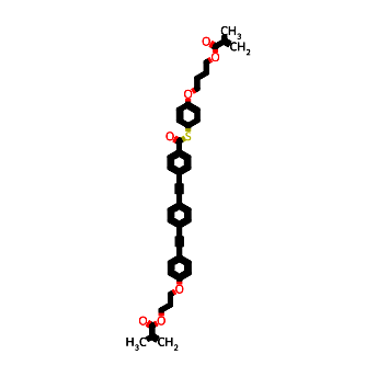 C=C(C)C(=O)OCCCCOC1=CCC(SC(=O)c2ccc(C#Cc3ccc(C#Cc4ccc(OCCCOC(=O)C(=C)C)cc4)cc3)cc2)C=C1